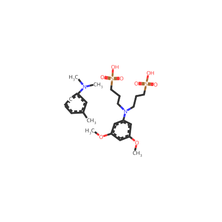 COc1cc(OC)cc(N(CCCS(=O)(=O)O)CCCS(=O)(=O)O)c1.Cc1cccc(N(C)C)c1